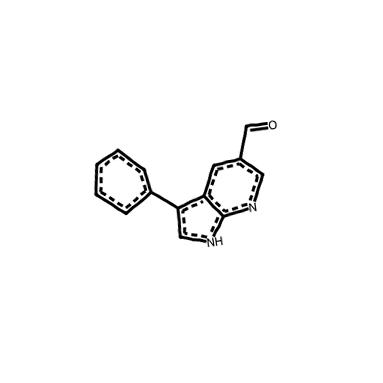 O=Cc1cnc2[nH]cc(-c3ccccc3)c2c1